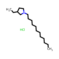 CCCCCCCCCCCCN1CCC(CC)C1.Cl